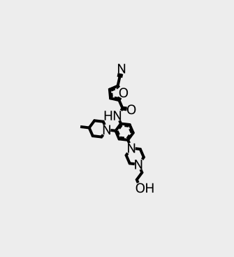 CC1CCN(c2cc(N3CCN(CCO)CC3)ccc2NC(=O)c2ccc(C#N)o2)CC1